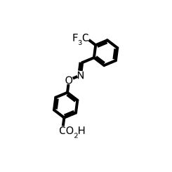 O=C(O)c1ccc(O/N=C/c2ccccc2C(F)(F)F)cc1